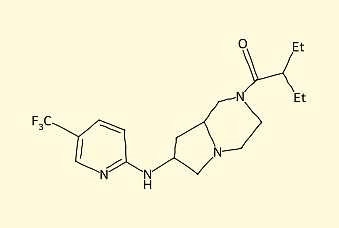 CCC(CC)C(=O)N1CCN2CC(Nc3ccc(C(F)(F)F)cn3)CC2C1